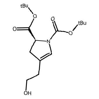 CC(C)(C)OC(=O)[C@@H]1CC(CCO)=CN1C(=O)OC(C)(C)C